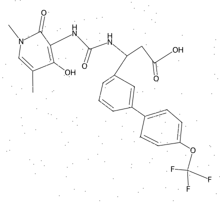 Cc1cn(C)c(=O)c(NC(=O)NC(CC(=O)O)c2cccc(-c3ccc(OC(F)(F)F)cc3)c2)c1O